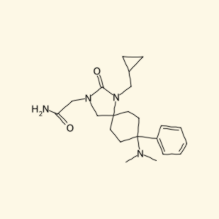 CN(C)C1(c2ccccc2)CCC2(CC1)CN(CC(N)=O)C(=O)N2CC1CC1